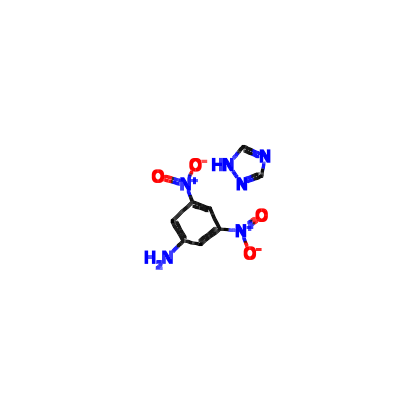 Nc1cc([N+](=O)[O-])cc([N+](=O)[O-])c1.c1nc[nH]n1